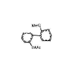 COc1[c]cccc1-c1ccccc1OC